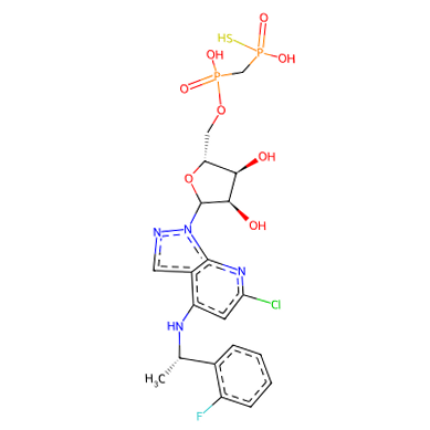 C[C@H](Nc1cc(Cl)nc2c1cnn2C1O[C@H](COP(=O)(O)CP(=O)(O)S)[C@@H](O)[C@H]1O)c1ccccc1F